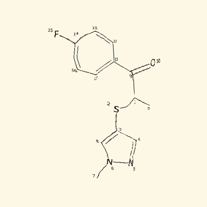 CC(Sc1cnn(C)c1)C(=O)c1ccc(F)cc1